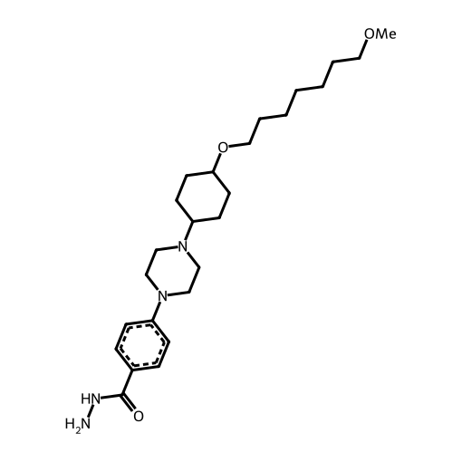 COCCCCCCCOC1CCC(N2CCN(c3ccc(C(=O)NN)cc3)CC2)CC1